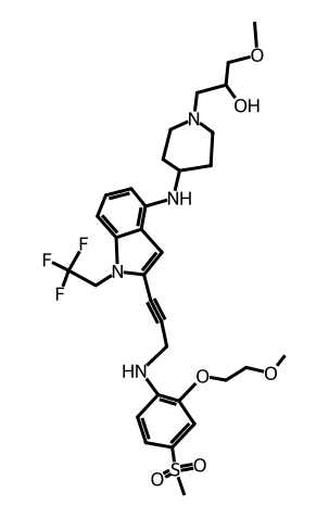 COCCOc1cc(S(C)(=O)=O)ccc1NCC#Cc1cc2c(NC3CCN(CC(O)COC)CC3)cccc2n1CC(F)(F)F